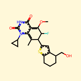 COC1=c2c(=O)[nH]c(=O)n(C3CC3)c2=C(C)C(c2cc3c(s2)CCCC3CO)C1F